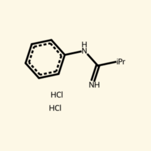 CC(C)C(=N)Nc1ccccc1.Cl.Cl